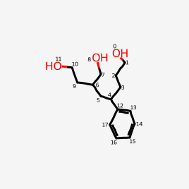 OCCCC(CC(CO)CCO)c1ccccc1